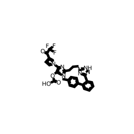 CCCc1nc(-n2ccc(C(=O)C(F)(F)F)c2)c(OC(=O)O)n1Cc1ccc(-c2ccccc2-c2nn[nH]n2)cc1